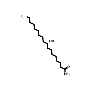 Br.CCCCCCCCCCCCCCCCCC(N)=O